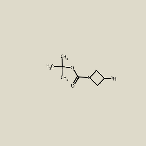 [2H]C1CN(C(=O)OC(C)(C)C)C1